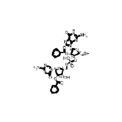 Nc1ncn([C@@H]2O[C@H](COP(=O)(O)O[C@@H]3[C@H](OC(=O)c4ccccc4)[C@H](n4cnc5c(=O)[nH]c(N)nc54)O[C@@H]3CO)[C@H](O)[C@@H]2OC(=O)c2ccccc2)c(=O)n1